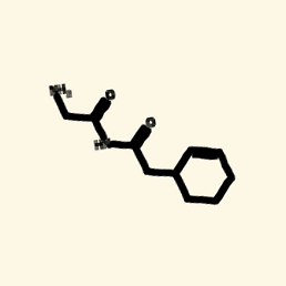 NCC(=O)NC(=O)CC1C=CCCC1